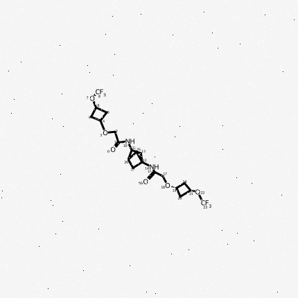 O=C(COC1CC(OC(F)(F)F)C1)NC1CC2(NC(=O)CO[C@H]3C[C@H](OC(F)(F)F)C3)CC1C2